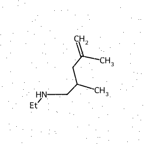 C=C(C)CC(C)CNCC